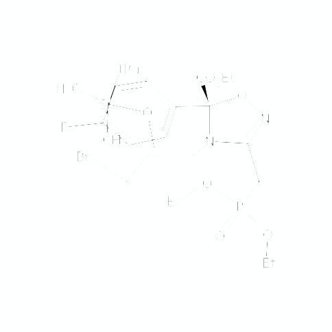 CCOC(=O)[C@@]1(c2ccc(F)cc2)ON=C(CP(=O)(OCC)OCC)N1C[C@H](CBr)O[Si](C)(C)C(C)(C)C